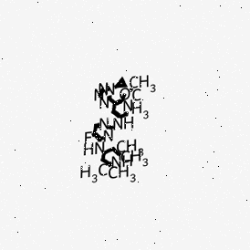 CC(C)Oc1ncc(Nc2ncc(F)c(NC3CC(C)(C)NC(C)(C)C3)n2)cc1-c1nnnn1C1CC1